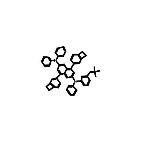 CC(C)(C)Cc1cccc(N(c2ccccc2)c2cc(-c3ccc4c(c3)CC4)c3cc(N(c4ccccc4)c4ccccc4)cc(-c4ccc5c(c4)CC5)c3c2)c1